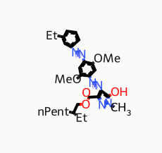 CCCCCC(CC)COC(=O)c1nn(C)c(O)c1/N=N/c1cc(OC)c(/N=N/c2cccc(CC)c2)cc1OC